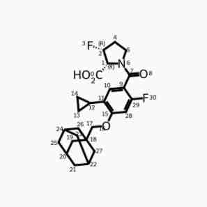 O=C(O)[C@@H]1[C@H](F)CCN1C(=O)c1cc(C2CC2)c(OCC23CC4CC(CC(C4)C2)C3)cc1F